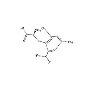 N[C@@H](Cc1c(Cl)cc(O)cc1C(F)F)C(=O)O